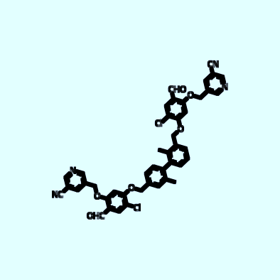 Cc1cc(COc2cc(OCc3cncc(C#N)c3)c(C=O)cc2Cl)ccc1-c1cccc(COc2cc(OCc3cncc(C#N)c3)c(C=O)cc2Cl)c1C